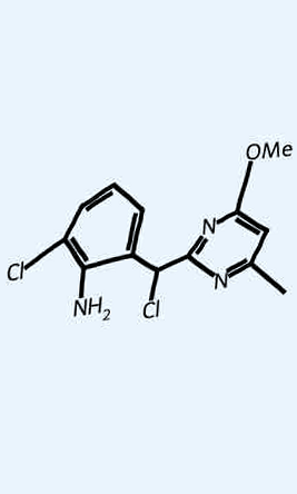 COc1cc(C)nc(C(Cl)c2cccc(Cl)c2N)n1